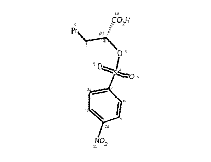 CC(C)C[C@@H](OS(=O)(=O)c1ccc([N+](=O)[O-])cc1)C(=O)O